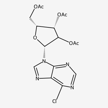 CC(=O)OC[C@H]1O[C@@H](n2cnc3c(Cl)ncnc32)C(OC(C)=O)[C@H]1OC(C)=O